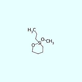 CCC[Si]1(OC)CCCCO1